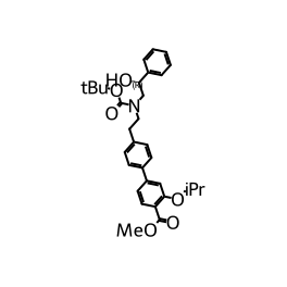 COC(=O)c1ccc(-c2ccc(CCN(C[C@H](O)c3ccccc3)C(=O)OC(C)(C)C)cc2)cc1OC(C)C